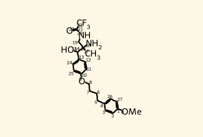 COc1ccc(CCCCOc2ccc(C(O)C(C)(N)CNC(=O)C(F)(F)F)cc2)cc1